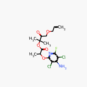 C=CCOCC(=O)C(C)(C)OC(=O)C(C)Oc1nc(F)c(Cl)c(N)c1Cl